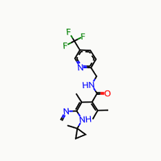 C=N/C(NC1(C)CC1)=C(\C)C(C(=O)NCc1ccc(C(F)(F)F)cn1)=C(C)C